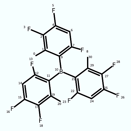 Cc1c(F)c(F)cc(F)c1B(c1c(F)cc(F)c(F)c1C)c1c(F)cc(F)c(F)c1C